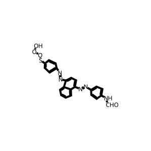 O=CNc1ccc(N=Nc2ccc(N=Nc3ccc(SOOO)cc3)c3ccccc23)cc1